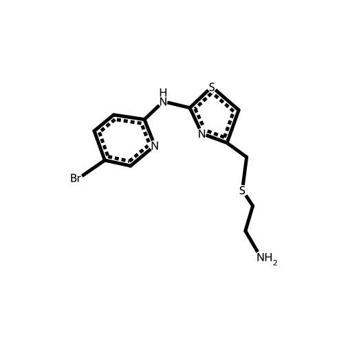 NCCSCc1csc(Nc2ccc(Br)cn2)n1